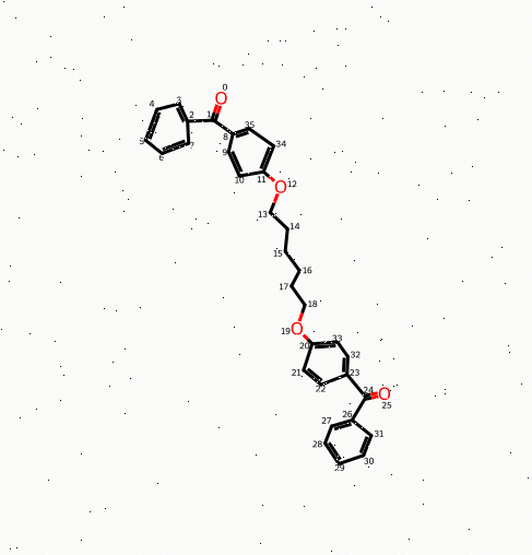 O=C(c1ccccc1)c1ccc(OCCCCCCOc2ccc(C(=O)c3ccccc3)cc2)cc1